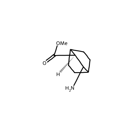 COC(=O)[C@H]1C2CCC(CC2)C1N